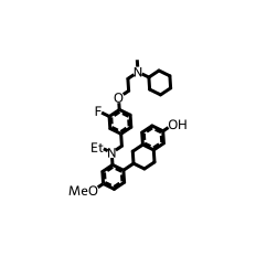 CCN(Cc1ccc(OCCN(C)C2CCCCC2)c(F)c1)c1cc(OC)ccc1C1CCc2cc(O)ccc2C1